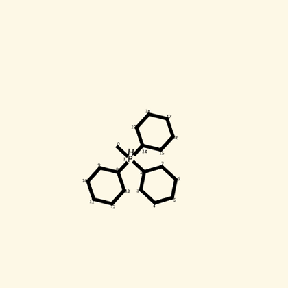 C[PH](C1CCCCC1)(C1CCCCC1)C1CCCCC1